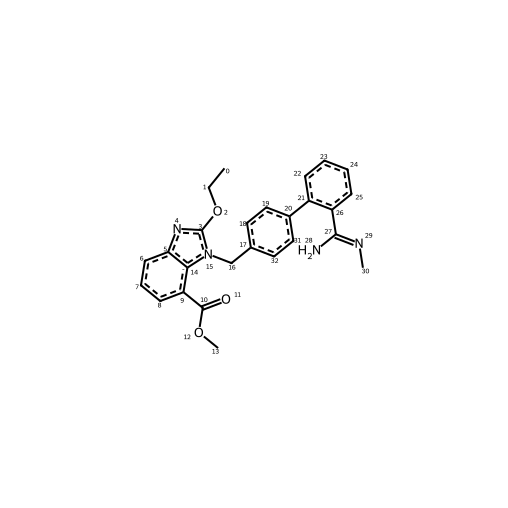 CCOc1nc2cccc(C(=O)OC)c2n1Cc1ccc(-c2ccccc2/C(N)=N/C)cc1